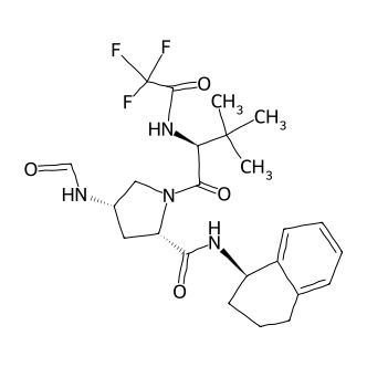 CC(C)(C)[C@H](NC(=O)C(F)(F)F)C(=O)N1C[C@@H](NC=O)C[C@H]1C(=O)N[C@@H]1CCCc2ccccc21